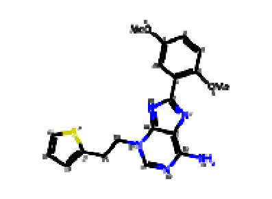 COc1ccc(OC)c(-c2nc3c(N)ncn(CCc4cccs4)c-3n2)c1